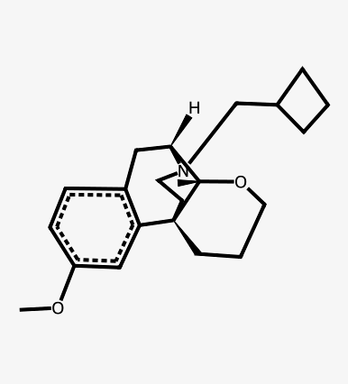 COc1ccc2c(c1)[C@@]13CCCO[C@@]1(C)[C@@H](C2)N(CC1CCC1)CC3